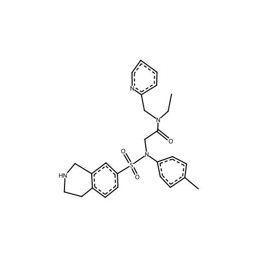 CCN(Cc1ccccn1)C(=O)CN(c1ccc(C)cc1)S(=O)(=O)c1ccc2c(c1)CNCC2